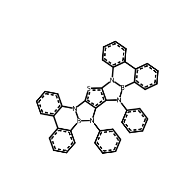 c1ccc(N2B3c4ccccc4-c4ccccc4N3c3sc4c(c32)N(c2ccccc2)B2c3ccccc3-c3ccccc3N24)cc1